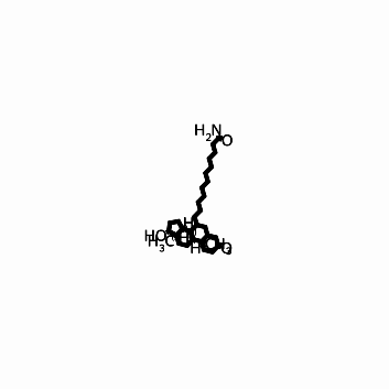 C[C@]12CCC(=O)CC1CC(CCCCCCCCCCCC(N)=O)[C@@H]1[C@H]2CC[C@]2(C)C(O)CC[C@@H]12